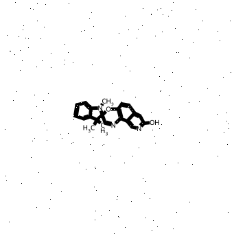 CN1c2ccccc2C(C)(C)C12C=Nc1c(ccc3cc(O)ncc13)O2